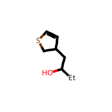 CCC(O)CC1C=CSC1